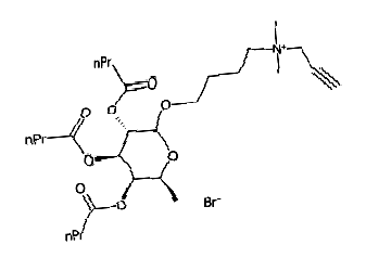 C#CC[N+](C)(C)CCCCOC1O[C@@H](C)[C@@H](OC(=O)CCC)[C@@H](OC(=O)CCC)[C@@H]1OC(=O)CCC.[Br-]